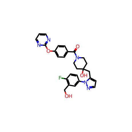 O=C(c1ccc(Oc2ncccn2)cc1)N1CCC(O)(Cc2ccnn2-c2ccc(F)c(CO)c2)CC1